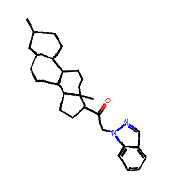 CC1CCC2C(CCC3C2CCC2(C)C(C(=O)Cn4ncc5ccccc54)CCC32)C1